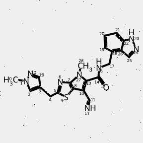 Cn1cc(Cc2nc3c(s2)c(C=N)c(C(=O)NCc2cccc4[nH]ncc24)n3C)cn1